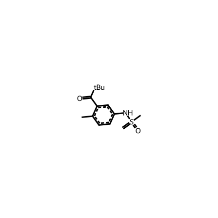 C=S(C)(=O)Nc1ccc(C)c(C(=O)C(C)(C)C)c1